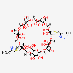 CC12OC(CO)[C@@H](O[C@H]3OC(CSC[C@@H](N)C(=O)O)[C@@H](O[C@H]4OC(CO)[C@@H](O[C@@H]5OC(CO)[C@@H](O[C@H]6OC(CO)[C@@H](O[C@@H]7OC(CSC[C@@H](N)C(=O)O)[C@@H](O[C@@H]8OC(CO)[C@@H](O1)C(O)C8O)C(O)C7O)C(O)C6O)C(O)C5O)C(O)C4O)[C@H](O)C3O)C(O)C2O